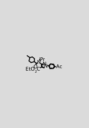 CCOC(=O)c1cn(-c2ccc(C(C)=O)cc2)nc1N(C(=O)C1CCC(C)CC1)C(C)C